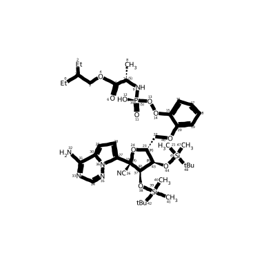 CCC(CC)COC(=O)[C@H](C)N[P@](=O)(O)OOc1ccccc1OC[C@H]1O[C@@](C#N)(c2ccc3c(N)ncnn23)[C@H](O[Si](C)(C)C(C)(C)C)[C@@H]1O[Si](C)(C)C(C)(C)C